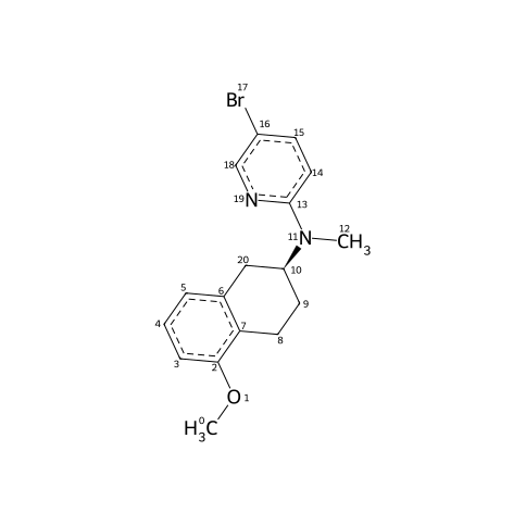 COc1cccc2c1CC[C@H](N(C)c1ccc(Br)cn1)C2